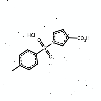 Cc1ccc(S(=O)(=O)n2ccc(C(=O)O)c2)cc1.Cl